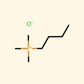 CCCC[P+](C)(C)C.[Cl-]